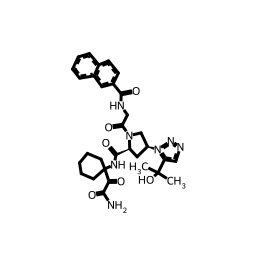 CC(C)(O)c1cnnn1[C@H]1C[C@@H](C(=O)NC2(C(=O)C(N)=O)CCCCC2)N(C(=O)CNC(=O)c2ccc3ccccc3c2)C1